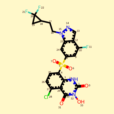 O=c1[nH]c2c(S(=O)(=O)c3cc(F)c4cnn(CCC5CC5(F)F)c4c3)ccc(Cl)c2c(=O)n1O